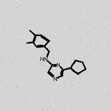 Cc1ccc(CNc2cncc(C3CCCC3)n2)cc1C